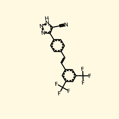 N#Cc1[nH]nnc1-c1ccc(/C=C/c2cc(C(F)(F)F)cc(C(F)(F)F)c2)cc1